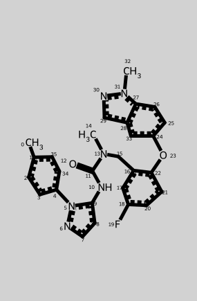 Cc1ccc(-n2nccc2NC(=O)N(C)Cc2cc(F)ccc2Oc2ccc3c(cnn3C)c2)cc1